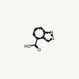 O=C(O)c1cccc2nscc12